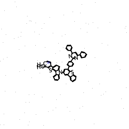 C#Cc1sc2c(ccc3c2c2ccccc2n3-c2cc(-c3ccc(-c4nc(-c5ccccc5)cc(-c5ccccc5)n4)cc3)c3sc4ccccc4c3c2)c1/C=C\C